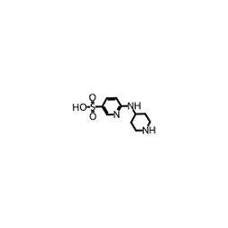 O=S(=O)(O)c1ccc(NC2CCNCC2)nc1